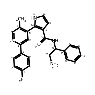 Cc1cnc(-c2ccc(F)cc2)cc1-c1[nH]ccc1C(=O)NC(CN)c1ccccc1